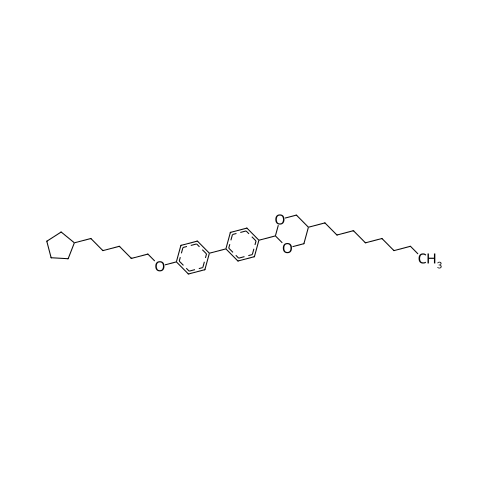 CCCCCCCCC1COC(c2ccc(-c3ccc(OCCCCCC4CCCC4)cc3)cc2)OC1